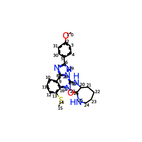 COc1ccc(-c2nc3c4cccc(SC)c4nc(NC4CCCCNC4=O)n3n2)cc1